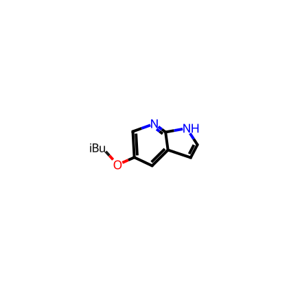 CCC(C)Oc1cnc2[nH]ccc2c1